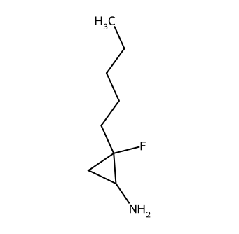 CCCCCC1(F)CC1N